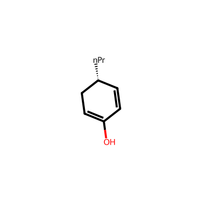 CCC[C@@H]1C=CC(O)=CC1